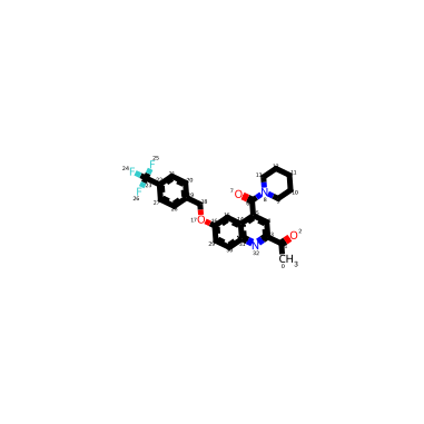 CC(=O)c1cc(C(=O)N2CCCCC2)c2cc(OCc3ccc(C(F)(F)F)cc3)ccc2n1